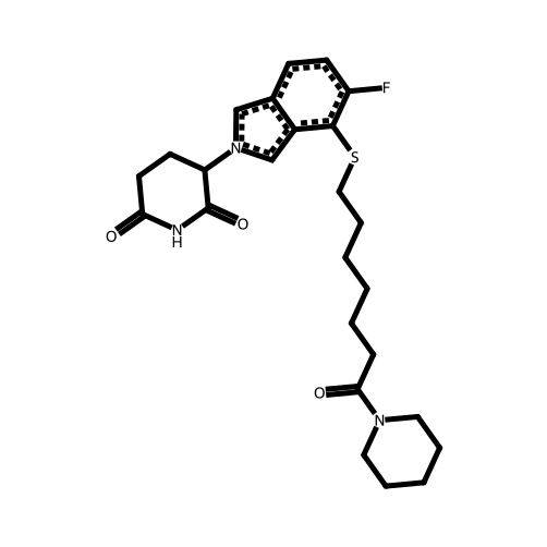 O=C1CCC(n2cc3ccc(F)c(SCCCCCCC(=O)N4CCCCC4)c3c2)C(=O)N1